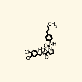 CCCCc1ccc(NC(=O)N2CCC[C@@]2(N)C(=O)NCc2ccc(Cl)c(Cl)c2)cc1